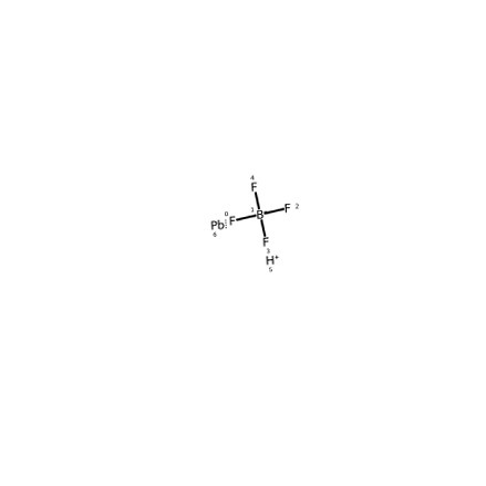 F[B-](F)(F)F.[H+].[Pb]